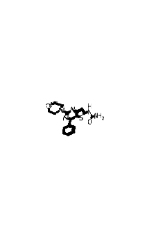 NC(=O)Nc1cc2nc(N3CCOCC3)nc(-c3ccccc3)c2s1